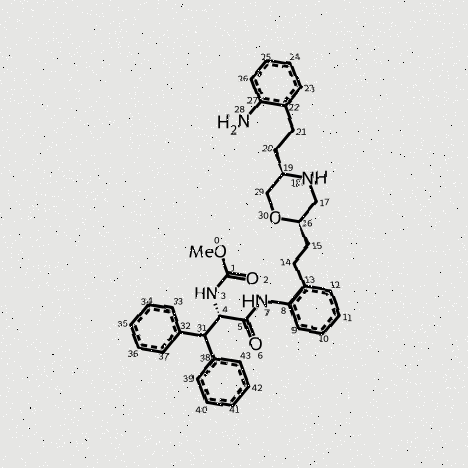 COC(=O)N[C@H](C(=O)Nc1ccccc1CC[C@@H]1CN[C@H](CCc2ccccc2N)CO1)C(c1ccccc1)c1ccccc1